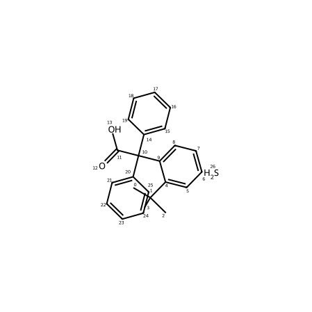 CC(C)(C)c1ccccc1C(C(=O)O)(c1ccccc1)c1ccccc1.S